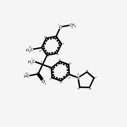 COc1ccc(C(C)(C(=O)O)c2ccc(N3CCCC3)cc2)c(C)c1